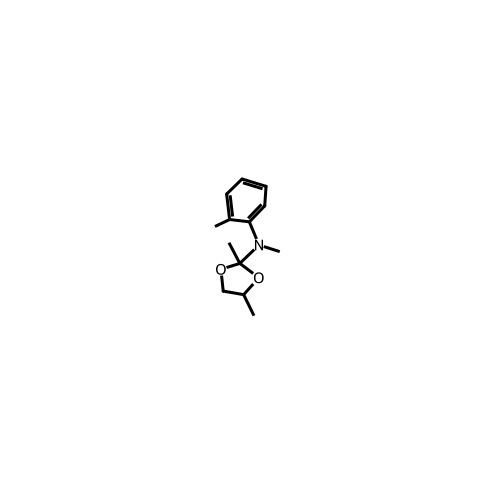 Cc1ccccc1N(C)C1(C)OCC(C)O1